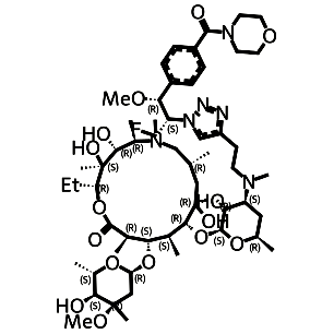 CC[C@H]1OC(=O)[C@H](C)[C@@H](O[C@H]2C[C@@](C)(OC)[C@@H](O)[C@H](C)O2)[C@H](C)[C@@H](O[C@@H]2O[C@H](C)C[C@H](N(C)CCc3cn([C@H](CF)[C@H](OC)c4ccc(C(=O)N5CCOCC5)cc4)nn3)[C@H]2O)[C@](C)(O)C[C@@H](C)CN(C)[C@H](C)[C@@H](O)[C@]1(C)O